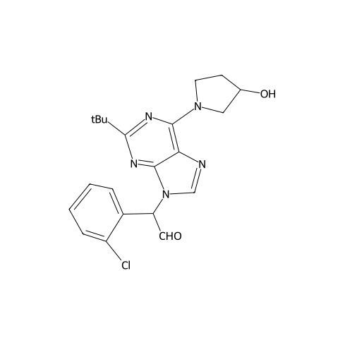 CC(C)(C)c1nc(N2CCC(O)C2)c2ncn(C(C=O)c3ccccc3Cl)c2n1